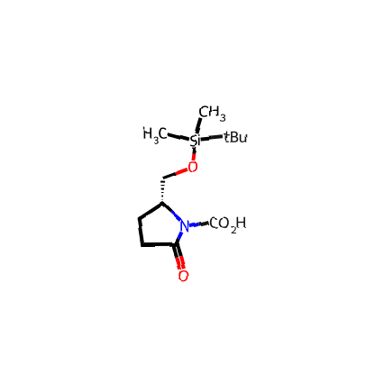 CC(C)(C)[Si](C)(C)OC[C@H]1CCC(=O)N1C(=O)O